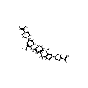 COc1cc(N2CCN(C(C)=O)CC2)ccc1Nc1ccnc(Nc2ccc(N3CCN(C(C)=O)CC3)cc2OC)n1